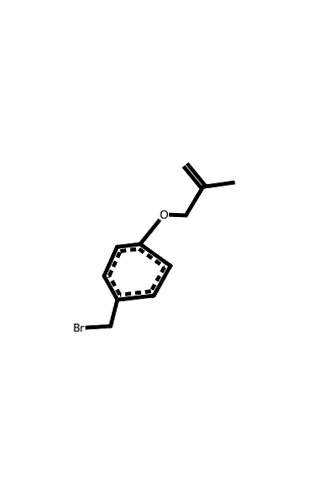 C=C(C)COc1ccc(CBr)cc1